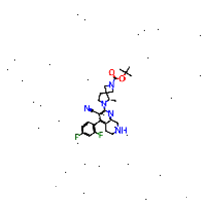 C[C@H]1N(c2nc3c(c(-c4ccc(F)cc4F)c2C#N)CCNC3)CCC12CN(C(=O)OC(C)(C)C)C2